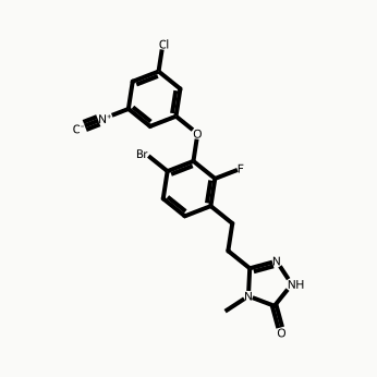 [C-]#[N+]c1cc(Cl)cc(Oc2c(Br)ccc(CCc3n[nH]c(=O)n3C)c2F)c1